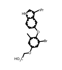 CCCc1c[nH]c2ccc(Oc3c(C)cc(OCC(=O)O)cc3Br)cc12